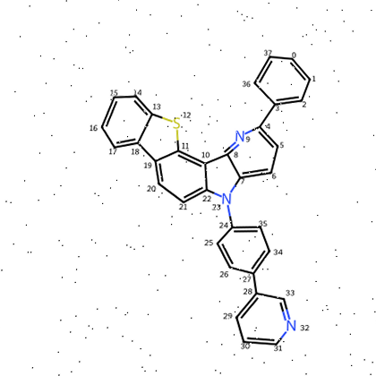 c1ccc(-c2ccc3c(n2)c2c4sc5ccccc5c4ccc2n3-c2ccc(-c3cccnc3)cc2)cc1